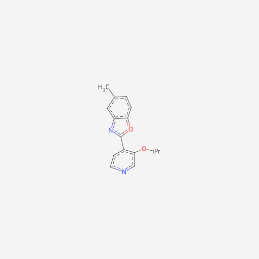 Cc1ccc2oc(-c3ccncc3OC(C)C)nc2c1